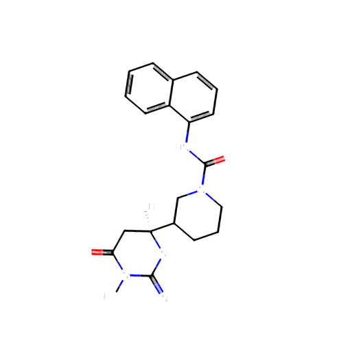 CN1C(=N)N[C@](C)(C2CCCN(C(=O)Nc3cccc4ccccc34)C2)CC1=O